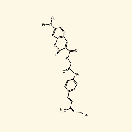 CCN(CC)c1ccc2cc(C(=O)NCC(=O)Nc3ccc(/C=C/C(C)=C\CO)cc3)c(=O)oc2c1